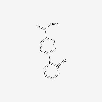 COC(=O)c1ccc(-n2ccccc2=O)nc1